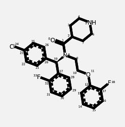 O=C(C1CCNCC1)N(CCOc1ccccc1F)[C@H](c1ccc(Cl)cc1)c1ccccc1F